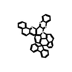 c1ccc2c(c1)-c1ccccc1C21c2cccc3ccc4c(c23)c2c1cccc2n4-c1nc2ccccc2nc1-c1ccc2ccc3ccccc3c2n1